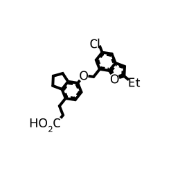 CCc1cc2cc(Cl)cc(COc3ccc(CCC(=O)O)c4c3CCC4)c2o1